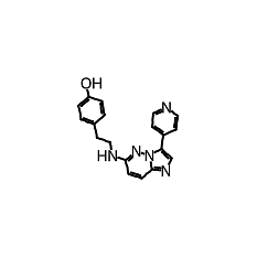 Oc1ccc(CCNc2ccc3ncc(-c4ccncc4)n3n2)cc1